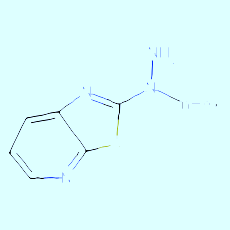 CCCCCCN(N)c1nc2cccnc2s1